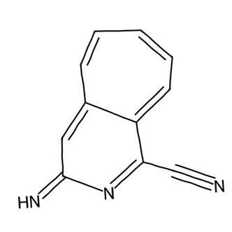 N#Cc1nc(=N)cc2cccccc1-2